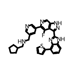 Fc1c(-c2cncc(CNCC3CCCC3)c2)ncc2[nH]nc(-c3nc4c(-c5cccs5)cccc4[nH]3)c12